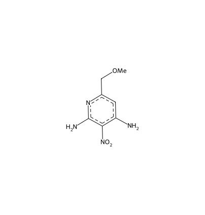 COCc1cc(N)c([N+](=O)[O-])c(N)n1